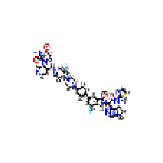 O=C1CCN(c2cnccc2CN2CCC(N3CCN(c4ccc(-c5cc(F)c6c(c5)C(=O)N(C(C(=O)Nc5nccs5)c5ncn7c5CCC7)C6)cc4)CC3)C(F)(F)C2)C(=O)N1